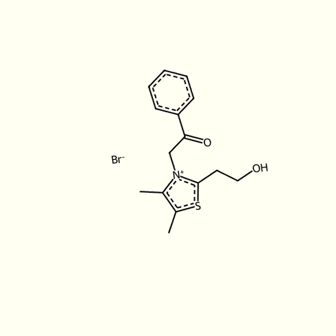 Cc1sc(CCO)[n+](CC(=O)c2ccccc2)c1C.[Br-]